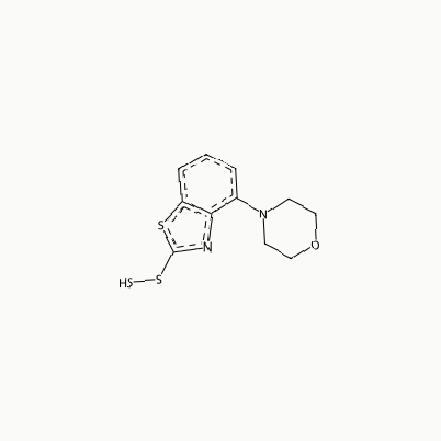 SSc1nc2c(N3CCOCC3)cccc2s1